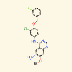 CCOc1cc2ncnc(Nc3ccc(OCc4cccc(F)c4)c(Cl)c3)c2cc1N